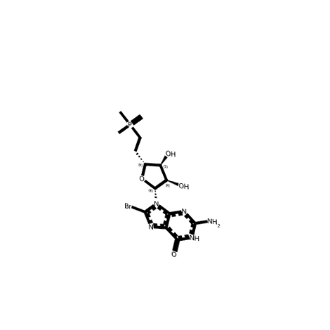 C=P(C)(C)CC[C@H]1O[C@@H](n2c(Br)nc3c(=O)[nH]c(N)nc32)[C@H](O)[C@@H]1O